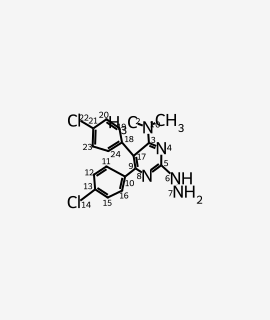 CN(C)c1nc(NN)nc(-c2ccc(Cl)cc2)c1-c1ccc(Cl)cc1